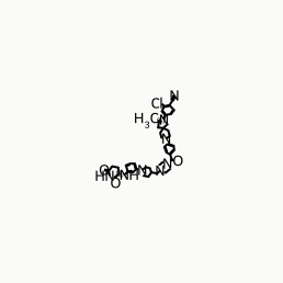 C[C@H]1CC2(CCN(c3ccc(C(=O)N4CCN(CC5CCN(c6cccc(N[C@H]7CCC(=O)NC7=O)c6)CC5)CC4)cc3)CC2)CN1c1ccc(C#N)c(Cl)c1